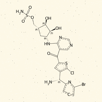 N[C@@H](c1cccc(Br)n1)c1cc(C(=O)c2cncnc2N[C@@H]2C[C@H](COS(N)(=O)=O)[C@@H](O)[C@H]2O)sc1Cl